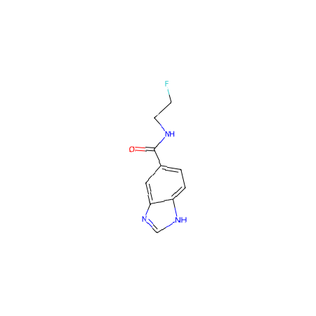 O=C(NCCF)c1ccc2[nH]cnc2c1